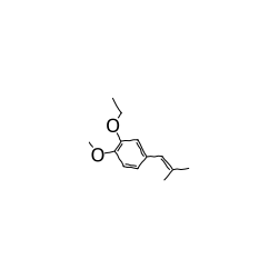 CCOc1cc(C=C(C)C)ccc1OC